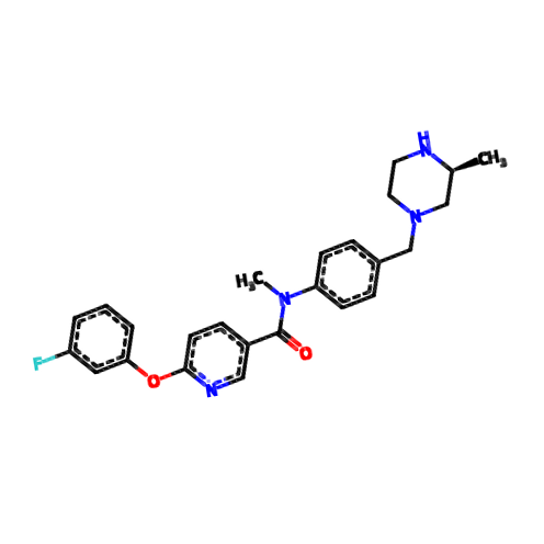 C[C@H]1CN(Cc2ccc(N(C)C(=O)c3ccc(Oc4cccc(F)c4)nc3)cc2)CCN1